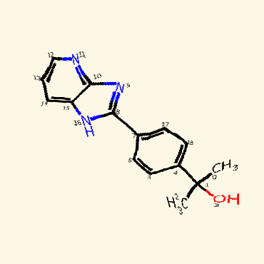 CC(C)(O)c1ccc(-c2nc3ncccc3[nH]2)cc1